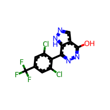 Oc1nnc(-c2c(Cl)cc(C(F)(F)F)cc2Cl)c2[nH]ncc12